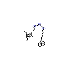 CC/C=C\C/C=C\C/C=C\CCCCCCCC(=O)[O-].CCC[N+](CCC)(CCC)CCC